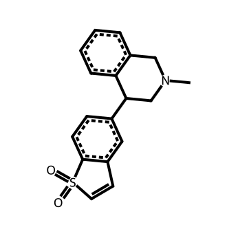 CN1Cc2ccccc2C(c2ccc3c(c2)C=CS3(=O)=O)C1